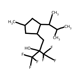 CC1CC(CC(O)(C(F)(F)F)C(F)(F)F)C(C(C)C(C)C)C1